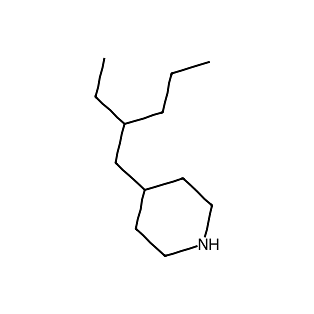 CCCC(CC)CC1CCNCC1